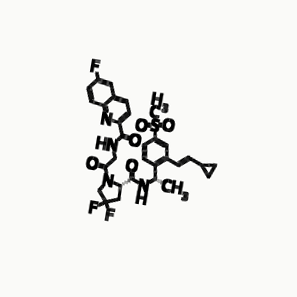 C[C@H](NC(=O)[C@@H]1CC(F)(F)CN1C(=O)CNC(=O)c1ccc2cc(F)ccc2n1)c1ccc(S(C)(=O)=O)cc1/C=C/C1CC1